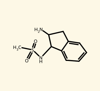 CS(=O)(=O)NC1c2ccccc2CC1N